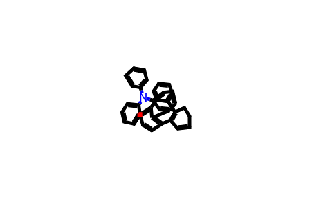 C1=CC2=C(CC1)c1c3cccc1-c1cccc2c1-c1cc(N(c2ccccc2)c2ccccc2)ccc1-3